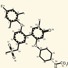 Cc1cc(F)cc(C)c1Oc1ccc(CS(C)(=O)=O)cc1-c1cn(C)c(=O)cc1O[C@H]1CC[C@H](NC(=O)O)CC1